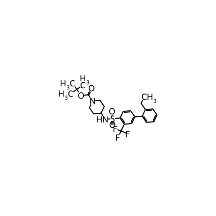 CCc1ccccc1-c1ccc(S(=O)(=O)NC2CCN(C(=O)OC(C)(C)C)CC2)c(C(F)(F)F)c1